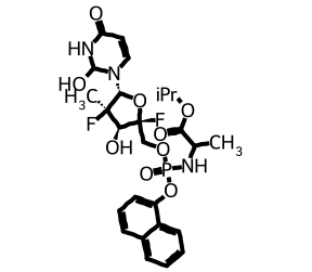 CC(C)OC(=O)C(C)NP(=O)(OC[C@@]1(F)O[C@@H](N2C=CC(=O)NC2O)[C@](C)(F)[C@@H]1O)Oc1cccc2ccccc12